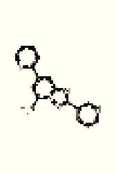 Nc1cc(-c2ccccn2)cc2nc(-c3cccnc3)nn12